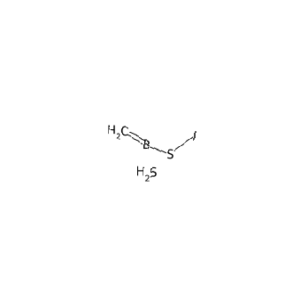 C=BSI.S